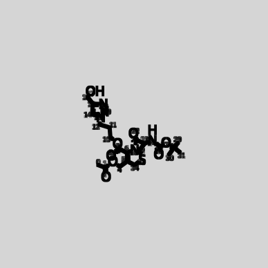 CC(=O)OCC1=C(C(=O)OCCCn2cc(CO)nn2)N2C(=O)C(NC(=O)OC(C)(C)C)C2SC1